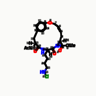 COC(=O)[C@@H]1CC=CCOc2ccc(cc2)C[C@H](NC(C)=O)C(=O)N[C@@H](CCCCNCl)C(=O)N1